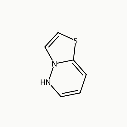 [C]1=CN2NC=CC=C2S1